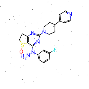 NN(c1cccc(F)c1)c1nc(N2CCC(c3ccncc3)CC2)nc2c1[S+]([O-])CC2